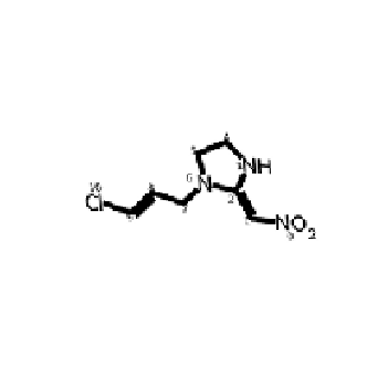 O=[N+]([O-])/C=C1\NCCN1C/C=C/Cl